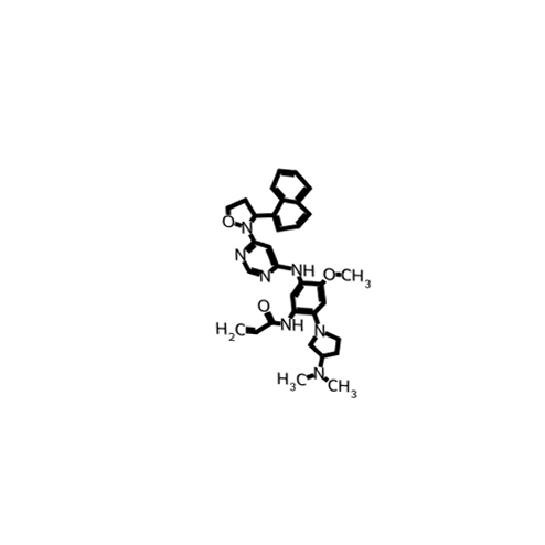 C=CC(=O)Nc1cc(Nc2cc(N3OCCC3c3cccc4ccccc34)ncn2)c(OC)cc1N1CCC(N(C)C)C1